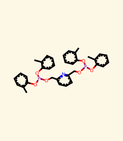 Cc1ccccc1OP(OCc1cccc(COP(Oc2ccccc2C)Oc2ccccc2C)n1)Oc1ccccc1C